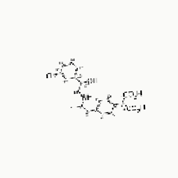 CC(Cc1ccc(C(C(=O)O)C(=O)O)cc1)NCC(O)c1cccc(Cl)c1